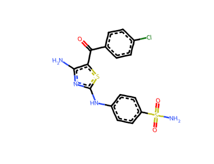 Nc1nc(Nc2ccc(S(N)(=O)=O)cc2)sc1C(=O)c1ccc(Cl)cc1